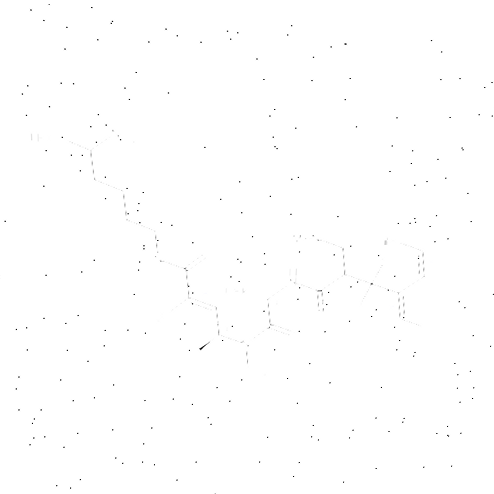 C/C=C(\C=C/C(C)C)C(C)(C)C(CNC)C(=O)N[C@H](C(=O)N(C)[C@H](/C=C(\C)C(=O)NCCCCC(N)C(=O)O)C(C)C)C(C)(C)C